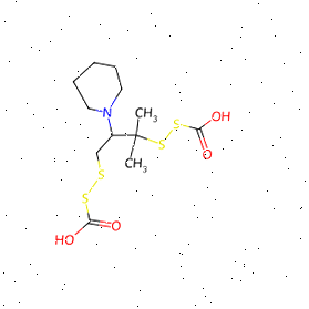 CC(C)(SSC(=O)O)C(CSSC(=O)O)N1CCCCC1